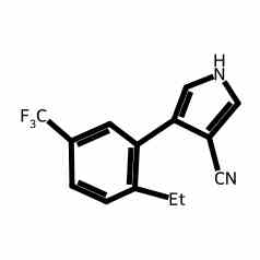 CCc1ccc(C(F)(F)F)cc1-c1c[nH]cc1C#N